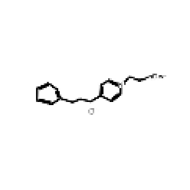 CCCCCCCCCCCC[n+]1ccc(CCCc2ccccc2)cc1.[Cl-]